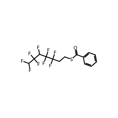 O=C(SCCC(F)(F)C(F)(F)C(F)C(F)(F)C(F)F)c1ccccc1